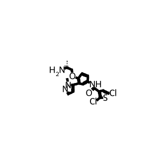 C[C@@H](N)COc1ccc(NC(=O)c2cc(Cl)sc2Cl)cc1-c1ccnn1C